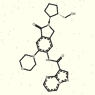 O=C(Nc1cc2c(cc1N1CCOCC1)C(=O)N([C@H]1CCC[C@@H]1CO)C2)c1cnn2cccnc12